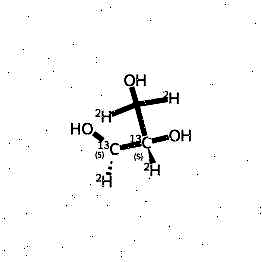 [2H][13C@H](O)[13C@@]([2H])(O)C([2H])([2H])O